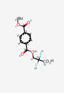 CC(C)(C)OC(=O)c1ccc(C(=O)OCC(F)(F)C(=O)O)cc1